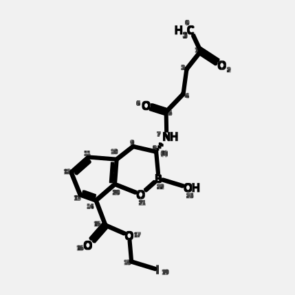 CC(=O)CCC(=O)N[C@H]1Cc2cccc(C(=O)OCI)c2OB1O